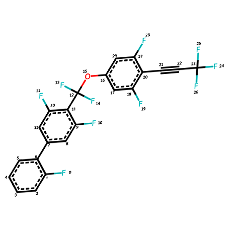 Fc1ccccc1-c1cc(F)c(C(F)(F)Oc2cc(F)c(C#CC(F)(F)F)c(F)c2)c(F)c1